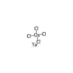 [Cl][Os]([Cl])([Cl])[Cl].[Ta]